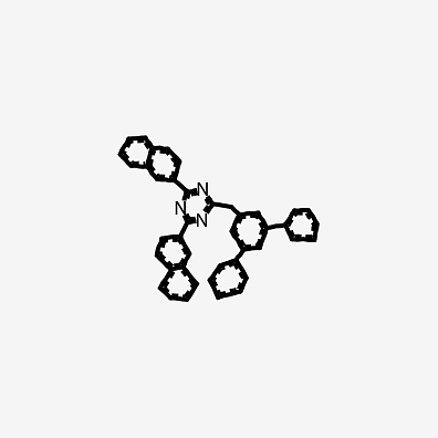 c1ccc(-c2cc(Cc3nc(-c4ccc5ccccc5c4)nc(-c4ccc5ccccc5c4)n3)cc(-c3ccccc3)c2)cc1